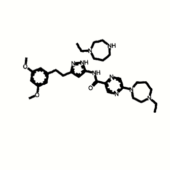 CCN1CCCN(c2cnc(C(=O)Nc3cc(CCc4cc(OC)cc(OC)c4)n[nH]3)cn2)CC1.CCN1CCCNCC1